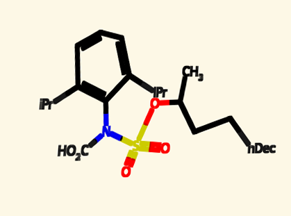 CCCCCCCCCCCCC(C)OS(=O)(=O)N(C(=O)O)c1c(C(C)C)cccc1C(C)C